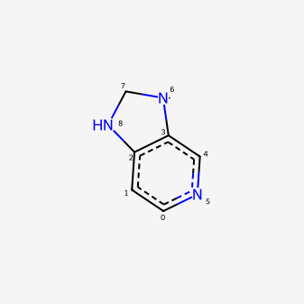 c1cc2c(cn1)[N]CN2